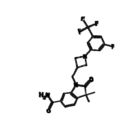 CC1(C)C(=O)N(CC2CN(c3cc(F)cc(C(F)(F)F)c3)C2)c2cc(C(N)=O)ccc21